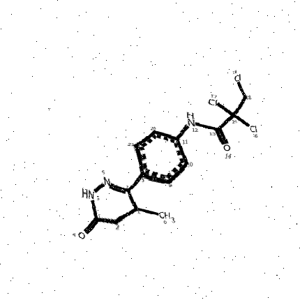 CC1CC(=O)NN=C1c1ccc(NC(=O)C(Cl)(Cl)CCl)cc1